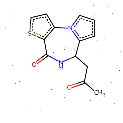 CC(=O)CC1NC(=O)c2sccc2-n2cccc21